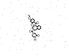 CCOc1ccc(C(=O)N2C[C@@H](C)N(C(=O)N3CCNC(=O)C3)Cc3ccccc32)c(Cl)c1